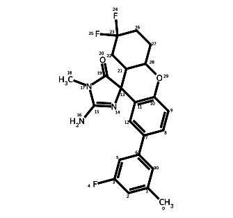 Cc1cc(F)cc(-c2ccc3c(c2)C2(N=C(N)N(C)C2=O)C2CC(F)(F)CCC2O3)c1